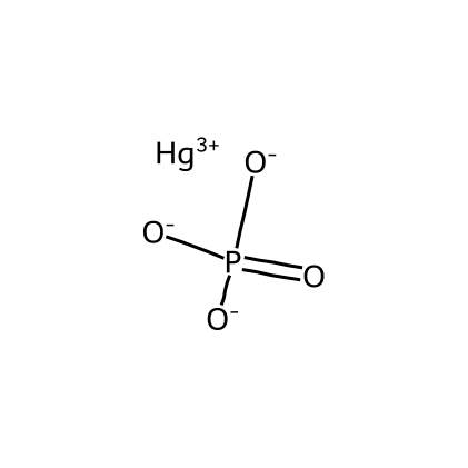 O=P([O-])([O-])[O-].[Hg+3]